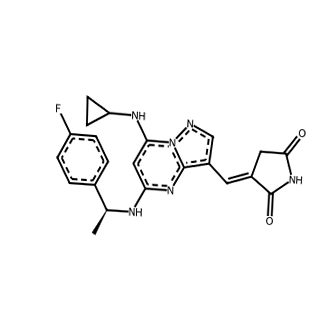 C[C@H](Nc1cc(NC2CC2)n2ncc(C=C3CC(=O)NC3=O)c2n1)c1ccc(F)cc1